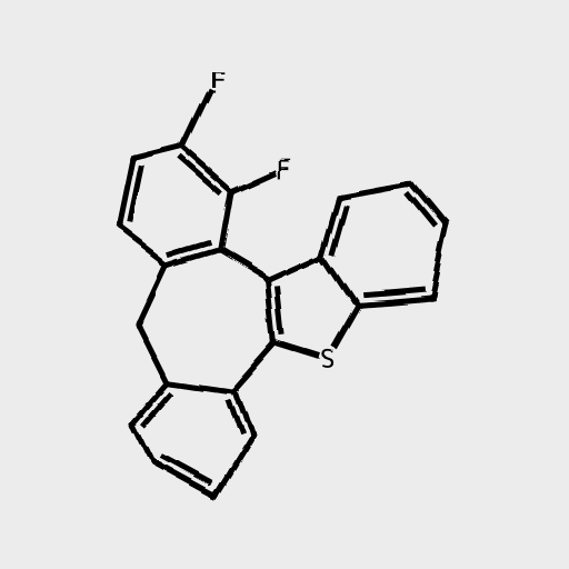 Fc1ccc2c(c1F)-c1c(sc3ccccc13)-c1ccccc1C2